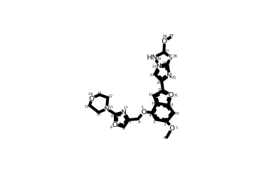 COc1cc(OCc2coc(N3CCOCC3)n2)c2cc(-c3cn4c(n3)SC(OC)N4)oc2c1